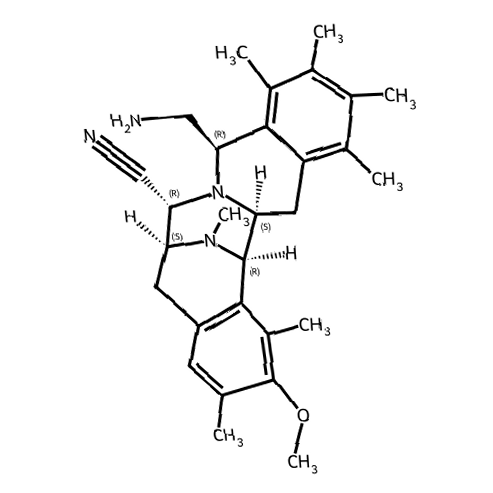 COc1c(C)cc2c(c1C)[C@@H]1[C@@H]3Cc4c(C)c(C)c(C)c(C)c4[C@H](CN)N3[C@@H](C#N)[C@H](C2)N1C